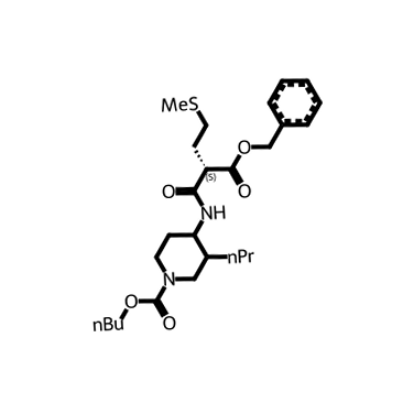 CCCCOC(=O)N1CCC(NC(=O)[C@H](CCSC)C(=O)OCc2ccccc2)C(CCC)C1